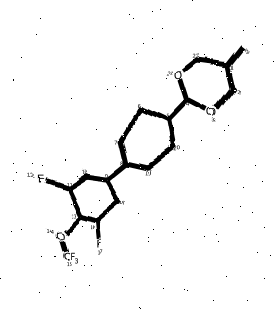 CC1COC(C2CCC(C3CC(F)C(OC(F)(F)F)C(F)C3)CC2)OC1